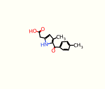 Cc1ccc(C(=O)c2[nH]c(CC(=O)O)cc2C)cc1